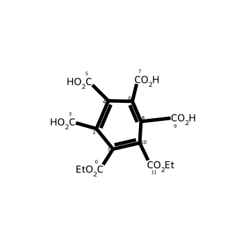 CCOC(=O)c1c(C(=O)O)c(C(=O)O)c(C(=O)O)c(C(=O)O)c1C(=O)OCC